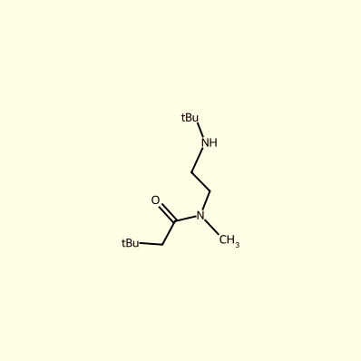 CN(CCNC(C)(C)C)C(=O)CC(C)(C)C